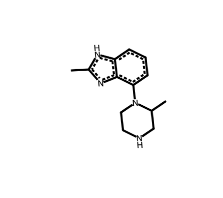 Cc1nc2c(N3CCNCC3C)cccc2[nH]1